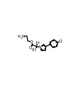 CCC(CC)(C(=O)OCCN)n1ccc(-c2ccc(Cl)cc2)c1